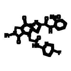 COc1ccccc1NC(=O)c1cc2n(CC(=O)Nc3ccc(F)cn3)c3c(c(=O)n2n1)CN(C(C)C)C3=O